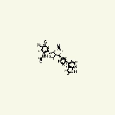 N#CC[C@@H](C1CCN(c2nc(Cl)c(F)cc2NC=O)C1)n1cc(-c2ncnc3[nH]ccc23)cn1